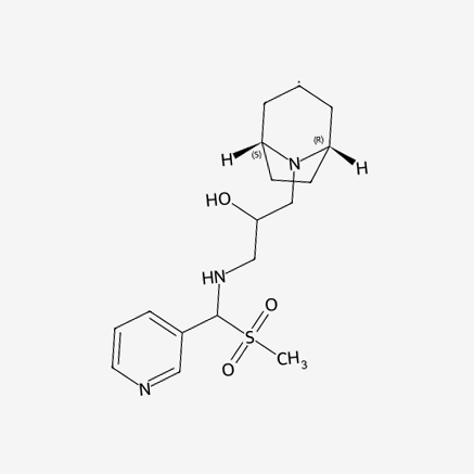 CS(=O)(=O)C(NCC(O)CN1[C@@H]2C[CH]C[C@H]1CC2)c1cccnc1